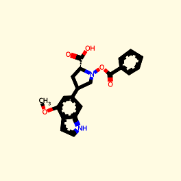 COc1cc(C2C[C@H](C(=O)O)N(OC(=O)c3ccccc3)C2)cc2[nH]ccc12